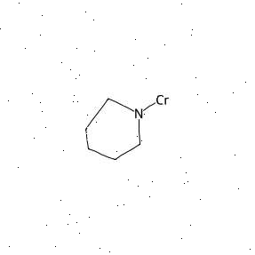 [Cr][N]1CCCCC1